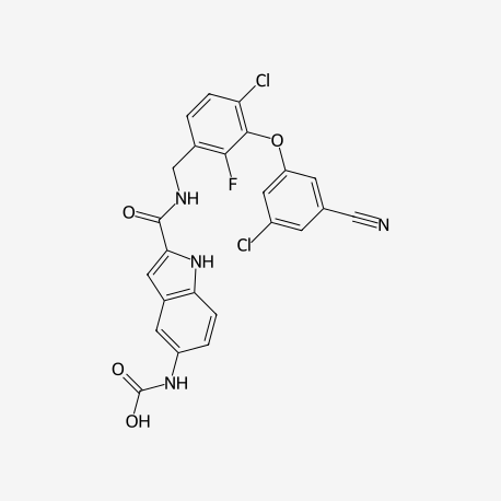 N#Cc1cc(Cl)cc(Oc2c(Cl)ccc(CNC(=O)c3cc4cc(NC(=O)O)ccc4[nH]3)c2F)c1